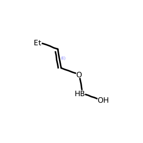 CC/C=C/OBO